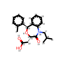 Cc1ccccc1[C@@H]1O[C@@H](CC(=O)O)C(=O)N(CC(C)C)c2ccccc21